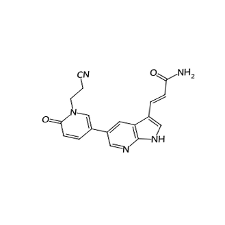 N#CCCn1cc(-c2cnc3[nH]cc(C=CC(N)=O)c3c2)ccc1=O